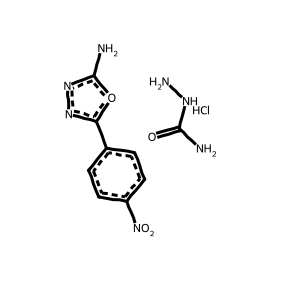 Cl.NNC(N)=O.Nc1nnc(-c2ccc([N+](=O)[O-])cc2)o1